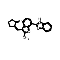 C=C1CCC/C1=C/c1c(C)oc2c(-c3nc4ccccc4[nH]3)cccc12